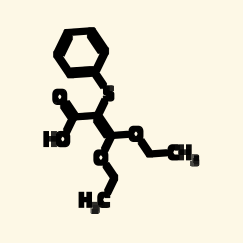 CCOC(OCC)=C(Sc1ccccc1)C(=O)O